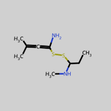 CCC(NC)SSC(N)=C=C(C)C